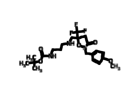 COc1ccc(CN2OC(CNCCCNC(=O)OC(C)(C)C)(C(F)(F)F)CC2=O)cc1